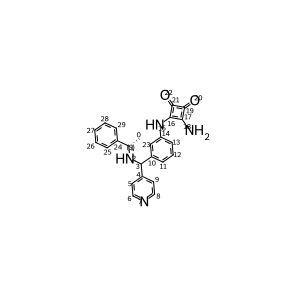 C[C@H](NC(c1ccncc1)c1cccc(Nc2c(N)c(=O)c2=O)c1)c1ccccc1